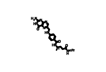 CCCNC(=O)CC[C@@H](C)NC(=O)c1ccc(NCc2cnc3nc(N)[nH]c(=O)c3n2)cc1